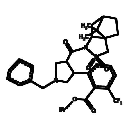 CC(C)OC(=O)c1c(C2CN(Cc3ccccc3)CC2C(=O)N2C3CC4CCC3(CS2(=O)=O)C4(C)C)cccc1C(F)(F)F